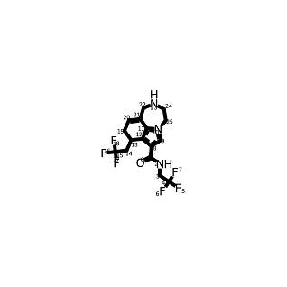 O=C(NCC(F)(F)F)c1cn2c3c1C(CC(F)(F)F)CC=C3CNCC2